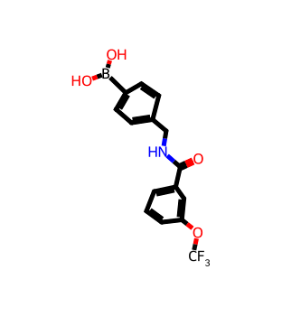 O=C(NCc1ccc(B(O)O)cc1)c1cccc(OC(F)(F)F)c1